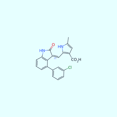 Cc1cc(C(=O)O)c(/C=C2\C(=O)Nc3cccc(-c4cccc(Cl)c4)c32)[nH]1